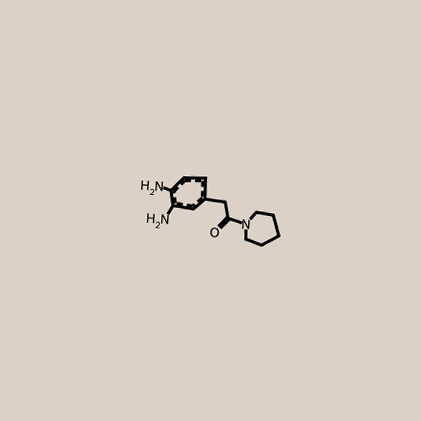 Nc1ccc(CC(=O)N2CCCCC2)cc1N